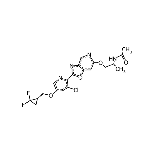 CC(=O)N[C@@H](C)COc1cc2oc(-c3ncc(OC[C@H]4CC4(F)F)cc3Cl)nc2cn1